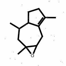 CC1=C2CC3OC3(C)CC(C)C2CC1